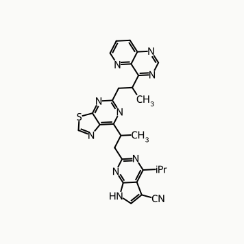 CC(C)c1nc(CC(C)c2nc(CC(C)c3ncnc4cccnc34)nc3scnc23)nc2[nH]cc(C#N)c12